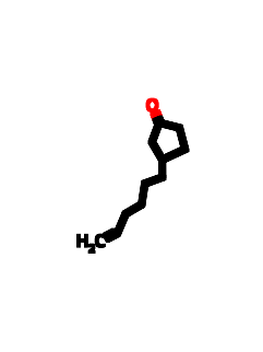 C=CCCCCC1CCC(=O)C1